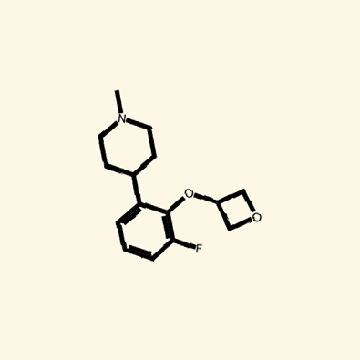 CN1CCC(c2cccc(F)c2OC2COC2)CC1